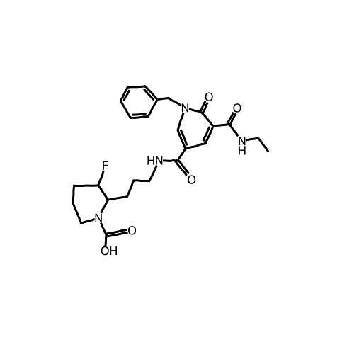 CCNC(=O)c1cc(C(=O)NCCCC2C(F)CCCN2C(=O)O)cn(Cc2ccccc2)c1=O